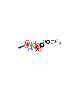 C=CCCOC(=O)NSSNC(=O)C(C)Oc1ccc(Oc2ccc(C(F)(F)F)cc2)cc1